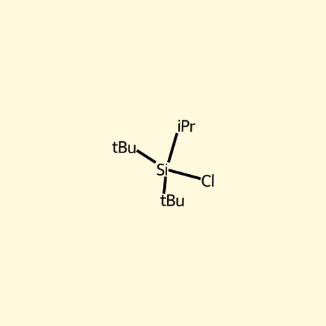 CC(C)[Si](Cl)(C(C)(C)C)C(C)(C)C